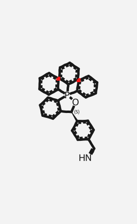 N=Cc1ccc([C@@H]2OP(c3ccccc3)(c3ccccc3)(c3ccccc3)c3ccccc32)cc1